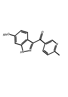 COc1ccc2c(C(=O)c3ccc(C)nc3)n[nH]c2c1